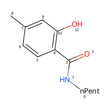 CCCCCNC(=O)c1ccc(C)cc1O